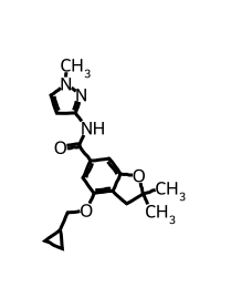 Cn1ccc(NC(=O)c2cc(OCC3CC3)c3c(c2)OC(C)(C)C3)n1